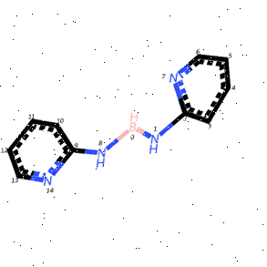 B(Nc1ccccn1)Nc1ccccn1